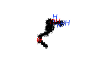 CCCCCCC(C)OCC(C)CCC[C@@H](C)[C@H]1CC[C@H]2[C@@H]3C[C@@H](NCCc4c[nH]cn4)[C@@]4(O)CCCC[C@]4(C)[C@H]3CC[C@]12C